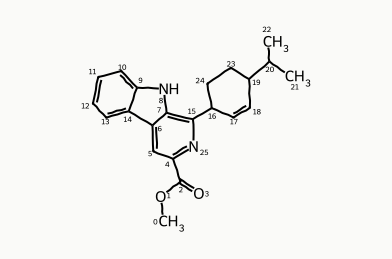 COC(=O)c1cc2c([nH]c3ccccc32)c(C2C=CC(C(C)C)CC2)n1